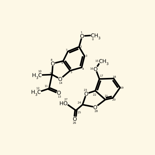 COc1ccc2c(c1)OC(C)(C(C)=O)O2.COc1cccc2c1OC(C(=O)O)O2